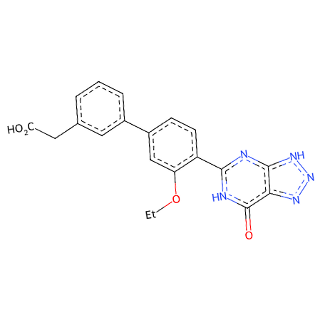 CCOc1cc(-c2cccc(CC(=O)O)c2)ccc1-c1nc2[nH]nnc2c(=O)[nH]1